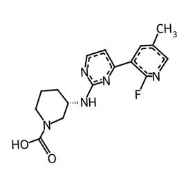 Cc1cnc(F)c(-c2ccnc(N[C@H]3CCCN(C(=O)O)C3)n2)c1